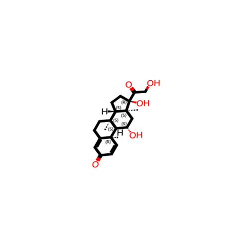 C[C@@]12CCC3=CC(=O)C=C[C@]3(C)[C@H]1[C@@H](O)C[C@@]1(C)[C@H]2CC[C@]1(O)C(=O)CO